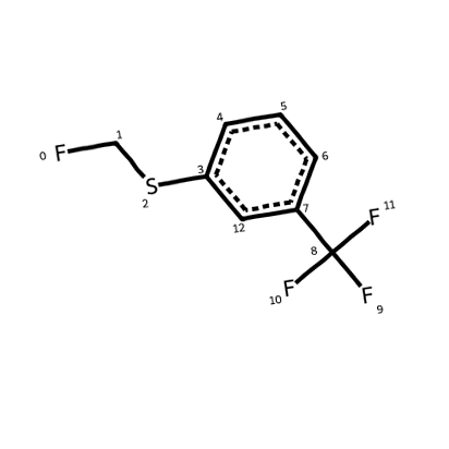 FCSc1cccc(C(F)(F)F)c1